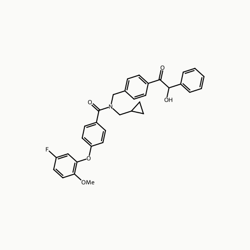 COc1ccc(F)cc1Oc1ccc(C(=O)N(Cc2ccc(C(=O)C(O)c3ccccc3)cc2)CC2CC2)cc1